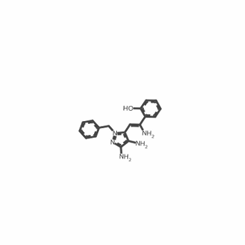 N/C(=C\c1c(N)c(N)nn1Cc1ccccc1)c1ccccc1O